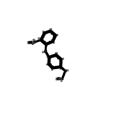 CCCCCCOc1ccc(Oc2ccccc2C(=O)O)cc1